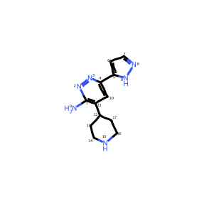 Nc1nnc(-c2ccn[nH]2)cc1C1CCNCC1